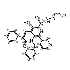 O=C(O)CCNC(=O)c1nc(-c2ccnnc2)c2c(cc(-c3ccccc3)c(=O)n2Cc2ccccc2)c1O